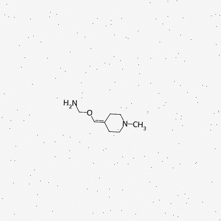 CN1CCC(=COCN)CC1